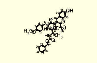 COc1ccc(C[C@H](NC(=O)C(C)NC(=O)OCc2ccccc2)C(=O)NC(Cc2ccc(O)cc2)C(=O)C2(C)CO2)cc1